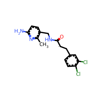 Cc1nc(N)ccc1CNC(=O)[CH]Cc1ccc(Cl)c(Cl)c1